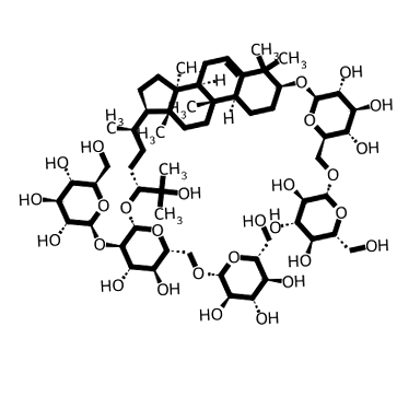 C[C@H](CC[C@@H](O[C@@H]1O[C@H](CO[C@@H]2O[C@H](CO)[C@@H](O)[C@H](O)[C@H]2O)[C@@H](O)[C@H](O)[C@H]1O[C@@H]1O[C@H](CO)[C@@H](O)[C@H](O)[C@H]1O)C(C)(C)O)[C@H]1CC[C@@]2(C)[C@H]3CC=C4[C@@H](CC[C@H](O[C@@H]5O[C@H](CO[C@@H]6O[C@H](CO)[C@@H](O)[C@H](O)[C@H]6O)[C@@H](O)[C@H](O)[C@H]5O)C4(C)C)[C@]3(C)CC[C@]12C